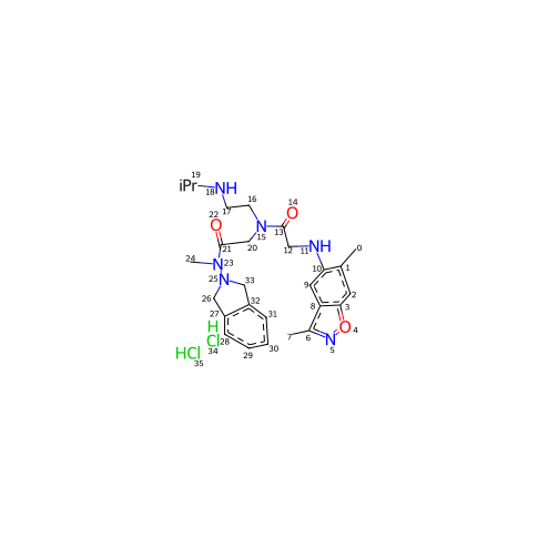 Cc1cc2onc(C)c2cc1NCC(=O)N(CCNC(C)C)CC(=O)N(C)N1Cc2ccccc2C1.Cl.Cl